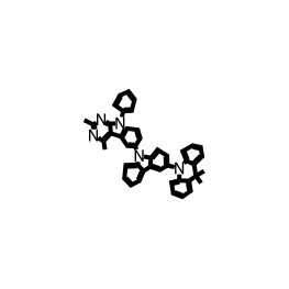 Cc1nc(C)c2c3cc(-n4c5ccccc5c5cc(N6c7ccccc7C(C)(C)c7ccccc76)ccc54)ccc3n(-c3ccccc3)c2n1